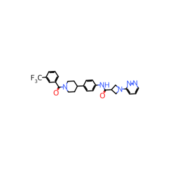 O=C(Nc1ccc(C2CCN(C(=O)c3cccc(C(F)(F)F)c3)CC2)cc1)C1CN(c2cccnn2)C1